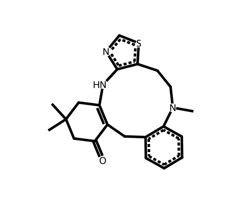 CN1CCc2scnc2NC2=C(Cc3ccccc31)C(=O)CC(C)(C)C2